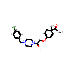 COC(=O)C1(C)C=CC(OCC(=O)N2CCN(Cc3ccc(Cl)cc3)CC2)=CC1